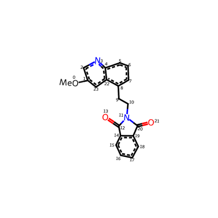 COc1cnc2cccc(CCN3C(=O)c4ccccc4C3=O)c2c1